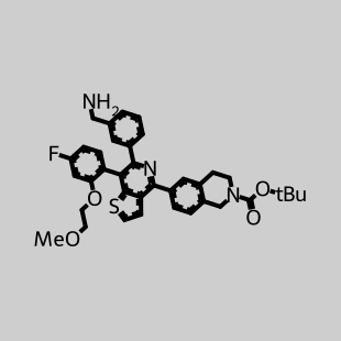 COCCOc1cc(F)ccc1-c1c(-c2cccc(CN)c2)nc(-c2ccc3c(c2)CCN(C(=O)OC(C)(C)C)C3)c2ccsc12